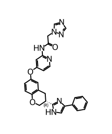 O=C(Cn1cncn1)Nc1cc(Oc2ccc3c(c2)C[C@H](c2nc(-c4ccccc4)c[nH]2)CO3)ccn1